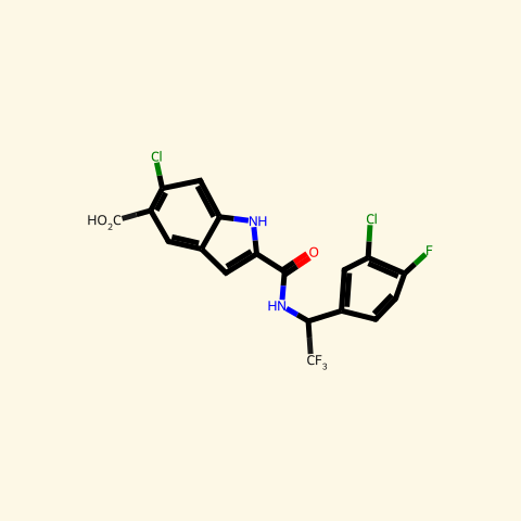 O=C(NC(c1ccc(F)c(Cl)c1)C(F)(F)F)c1cc2cc(C(=O)O)c(Cl)cc2[nH]1